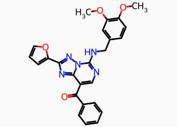 COc1ccc(CNc2ncc(C(=O)c3ccccc3)c3nc(-c4ccco4)nn23)cc1OC